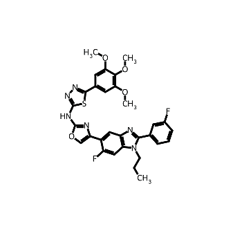 CCCn1c(-c2cccc(F)c2)nc2cc(-c3coc(Nc4nnc(-c5cc(OC)c(OC)c(OC)c5)s4)n3)c(F)cc21